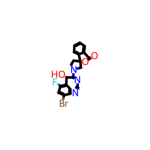 N#CN=C(C(O)c1ccc(Br)cc1F)N1CCC2(C1)OC(=O)c1ccccc12